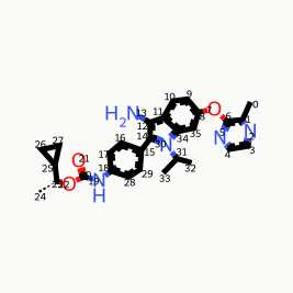 Cc1nccnc1Oc1ccc2c(N)c(-c3ccc(NC(=O)O[C@H](C)C4CC4)cc3)n(C(C)C)c2c1